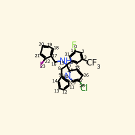 Fc1cc(C(F)(F)F)cc(C(Cc2ccccc2)(NCc2ccccc2I)c2ccc(Cl)cn2)c1